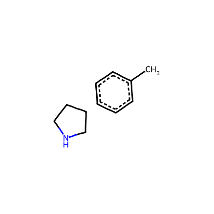 C1CCNC1.Cc1ccccc1